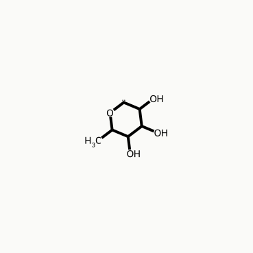 CC1O[C]C(O)C(O)C1O